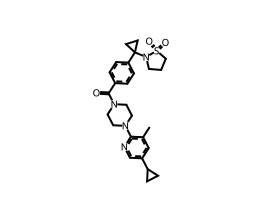 Cc1cc(C2CC2)cnc1N1CCN(C(=O)c2ccc(C3(N4CCCS4(=O)=O)CC3)cc2)CC1